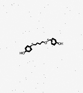 Oc1ccc(SCCCCOSc2ccc(O)cc2)cc1